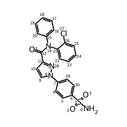 NS(=O)(=O)c1ccc(-n2ccc(C(=O)N(c3ccccc3)c3ccccc3Cl)n2)cc1